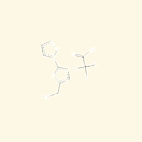 NCc1cnc(-n2ccnn2)s1.O=C(O)C(F)(F)F